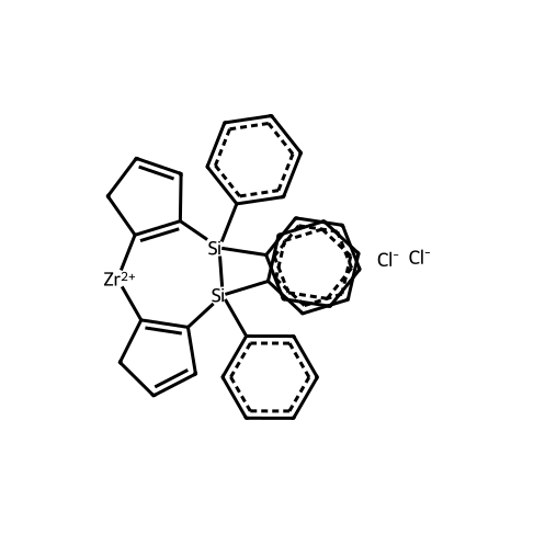 C1=CC2=[C](C1)[Zr+2][C]1=C(C=CC1)[Si](c1ccccc1)(c1ccccc1)[Si]2(c1ccccc1)c1ccccc1.[Cl-].[Cl-]